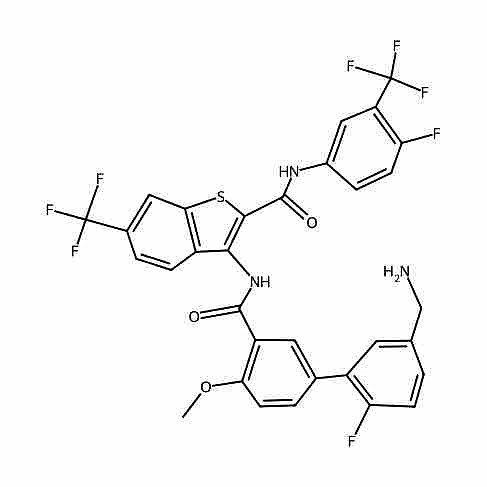 COc1ccc(-c2cc(CN)ccc2F)cc1C(=O)Nc1c(C(=O)Nc2ccc(F)c(C(F)(F)F)c2)sc2cc(C(F)(F)F)ccc12